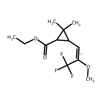 CCOC(=O)C1C(/C=C(/OC)C(F)(F)F)C1(C)C